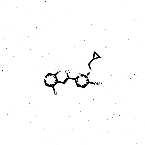 COc1ccc(C(C#N)=Cc2c(Cl)cncc2Cl)nc1OCC1CC1